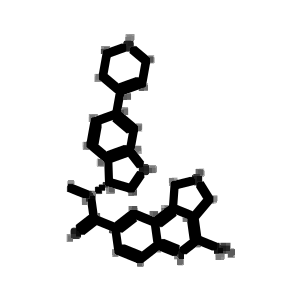 CN(C(=O)c1ccc2nc(N)c3c(c2c1)COC3)[C@H]1COc2cc(C3=CCOCC3)ccc21